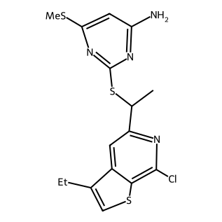 CCc1csc2c(Cl)nc(C(C)Sc3nc(N)cc(SC)n3)cc12